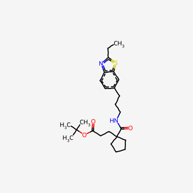 CCc1nc2ccc(CCCNC(=O)C3(CCC(=O)OC(C)(C)C)CCCC3)cc2s1